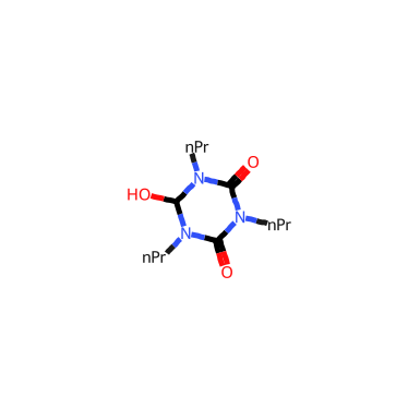 CCCN1C(=O)N(CCC)C(O)N(CCC)C1=O